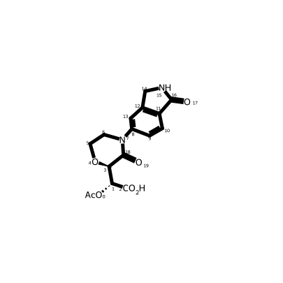 CC(=O)O[C@@H](C(=O)O)[C@H]1OCCN(c2ccc3c(c2)CNC3=O)C1=O